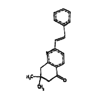 CC1(C)CC(=O)c2ccc(/C=C/c3ccccc3)nc2C1